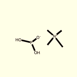 C[N+](C)(C)C.[O-]P(O)O